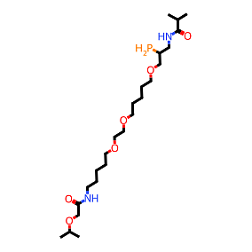 CC(C)OCC(=O)NCCCCCOCCOCCCCCOCC(P)CNC(=O)C(C)C